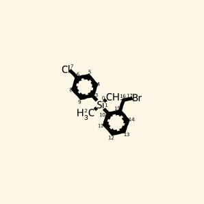 C[Si](C)(c1ccc(Cl)cc1)c1ccccc1CBr